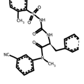 Cc1ccccc1S(=O)(=O)NC(=O)N[C@@H](Cc1ccccc1)C(=O)N(C)c1cccc(C#N)c1